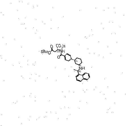 C[C@@H](N[C@H]1CCC[C@H](C2C=CC(C(=O)N[C@@H](CC(=O)OC(C)(C)C)C(=O)O)=CC2)C1)c1cccc2ccccc12